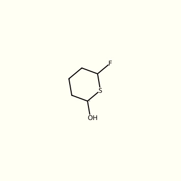 O[C]1CCCC(F)S1